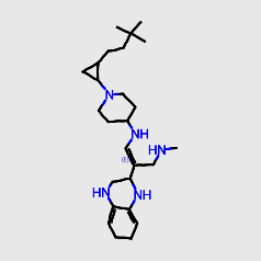 CNC/C(=C\NC1CCN(C2CC2CCC(C)(C)C)CC1)C1CNC2=CCCC=C2N1